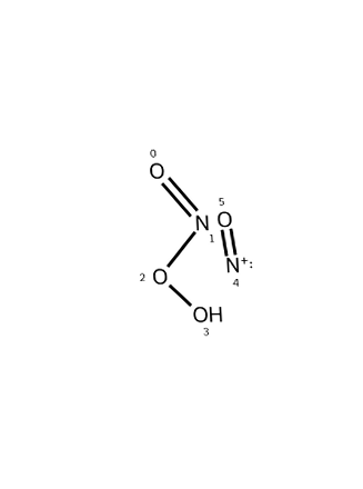 O=NOO.[N+]=O